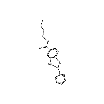 CCCCOC(=O)c1ccc2c(c1)NC(c1ccccn1)S2